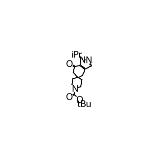 CC(C)n1ncc2c1C(=O)CC1(CCN(C(=O)OC(C)(C)C)CC1)C2